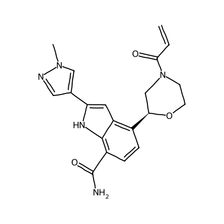 C=CC(=O)N1CCO[C@@H](c2ccc(C(N)=O)c3[nH]c(-c4cnn(C)c4)cc23)C1